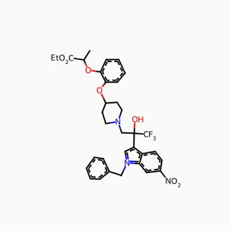 CCOC(=O)C(C)Oc1ccccc1OC1CCN(CC(O)(c2cn(Cc3ccccc3)c3cc([N+](=O)[O-])ccc23)C(F)(F)F)CC1